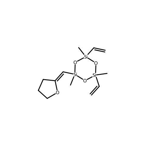 C=C[Si]1(C)O[Si](C)(C=C)O[Si](C)(/C=C2/CCCO2)O1